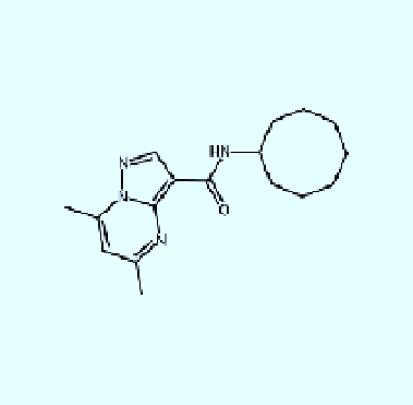 Cc1cc(C)n2ncc(C(=O)NC3CCCCCCC3)c2n1